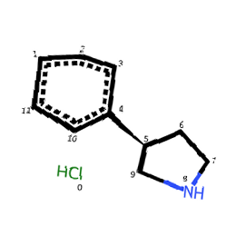 Cl.c1ccc([C@H]2CCNC2)cc1